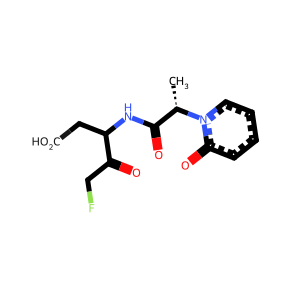 C[C@@H](C(=O)NC(CC(=O)O)C(=O)CF)n1ccccc1=O